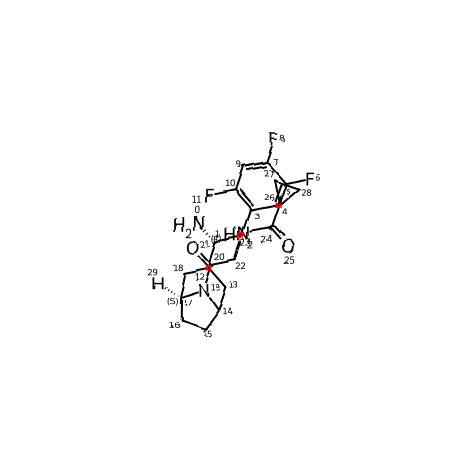 N[C@H](Cc1cc(F)c(F)cc1F)C1CC2CC[C@@H](C1)N2C(=O)CNC(=O)C1CC1